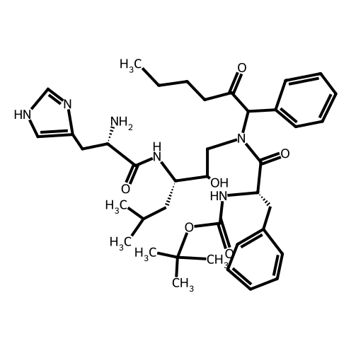 CCCCC(=O)C(c1ccccc1)N(CC(O)[C@H](CC(C)C)NC(=O)[C@@H](N)Cc1c[nH]cn1)C(=O)[C@H](Cc1ccccc1)NC(=O)OC(C)(C)C